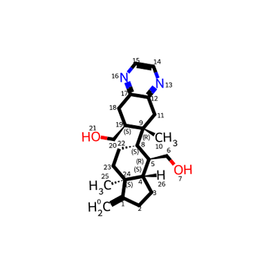 C=C1CC[C@H]2[C@H](CO)[C@@H]([C@@]3(C)Cc4nccnc4C[C@@H]3CO)CC[C@]12C